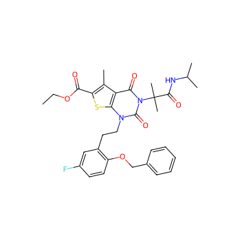 CCOC(=O)c1sc2c(c1C)c(=O)n(C(C)(C)C(=O)NC(C)C)c(=O)n2CCc1cc(F)ccc1OCc1ccccc1